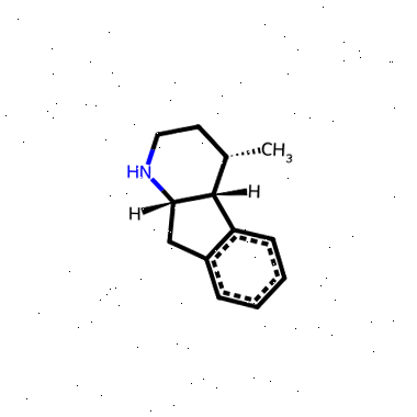 C[C@H]1CCN[C@H]2Cc3ccccc3[C@H]21